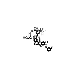 CC(O)=[SH]CC(C[SH]=C(C)O)C(=O)Nc1cc2c(Nc3ccc(OCc4cccc(F)c4)c(Cl)c3)c(C#N)cnc2cc1OC[C@H](O)CO